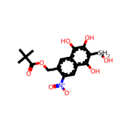 CC(C)(C)C(=O)OCc1cc2c(O)c(O)c([SiH2]O)c(O)c2cc1[N+](=O)[O-]